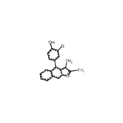 CCc1cc(-c2c3ccccc3cc3oc(C)c(C)c23)ccc1O